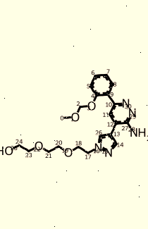 COCOc1ccccc1-c1cc(-c2cnn(CCOCCOCCO)c2)c(N)nn1